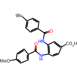 COc1ccc(C(=O)Nc2ccc(C(=O)O)cc2NC(=O)c2ccc(C(C)(C)C)cc2)cc1